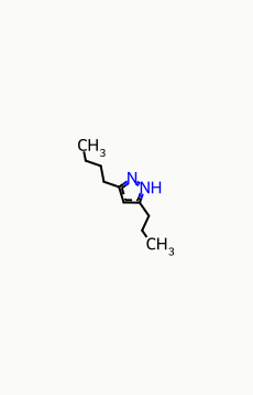 CCCCc1cc(CCC)[nH]n1